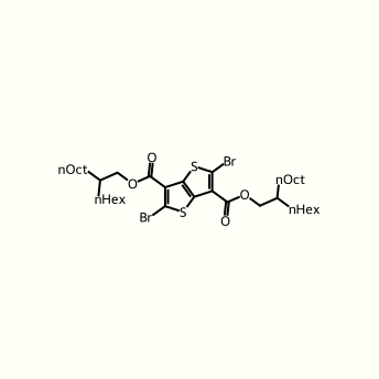 CCCCCCCCC(CCCCCC)COC(=O)c1c(Br)sc2c(C(=O)OCC(CCCCCC)CCCCCCCC)c(Br)sc12